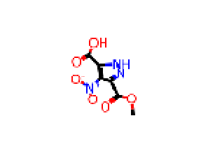 COC(=O)c1n[nH]c(C(=O)O)c1[N+](=O)[O-]